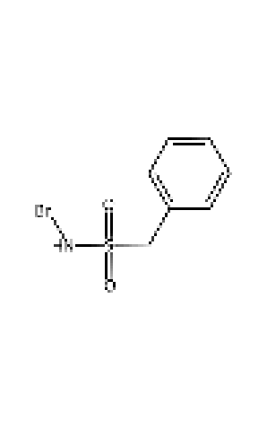 O=S(=O)(Cc1ccccc1)NBr